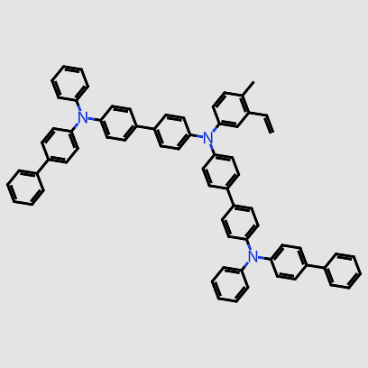 C=Cc1cc(N(c2ccc(-c3ccc(N(c4ccccc4)c4ccc(-c5ccccc5)cc4)cc3)cc2)c2ccc(-c3ccc(N(c4ccccc4)c4ccc(-c5ccccc5)cc4)cc3)cc2)ccc1C